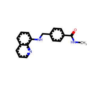 CNC(=O)c1ccc(CNc2cccc3cccnc23)cc1